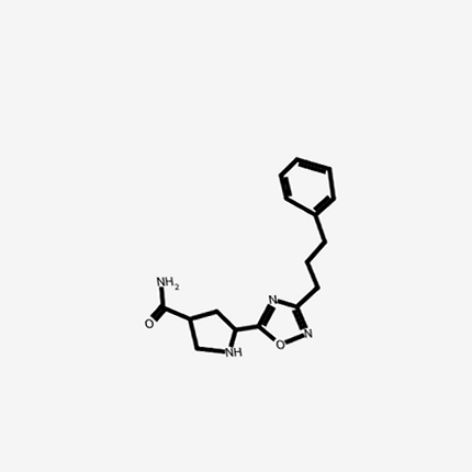 NC(=O)C1CNC(c2nc(CCCc3ccccc3)no2)C1